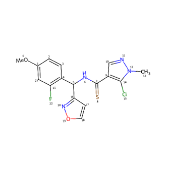 COc1ccc(C(NC(=S)c2cnn(C)c2Cl)c2ccon2)c(F)c1